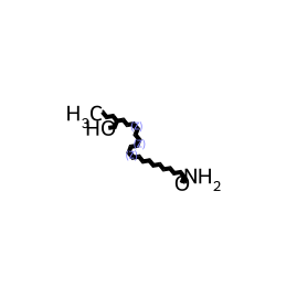 CCCCC(CO)CC/C=C\C/C=C\C/C=C\CCCCCCCCCC(N)=O